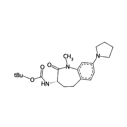 CN1C(=O)[C@@H](NC(=O)OC(C)(C)C)CCc2ccc(N3CCCC3)cc21